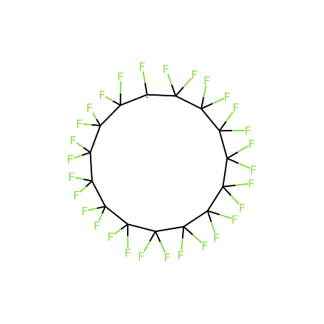 F[C]1C(F)(F)C(F)(F)C(F)(F)C(F)(F)C(F)(F)C(F)(F)C(F)(F)C(F)(F)C(F)(F)C(F)(F)C(F)(F)C(F)(F)C(F)(F)C1(F)F